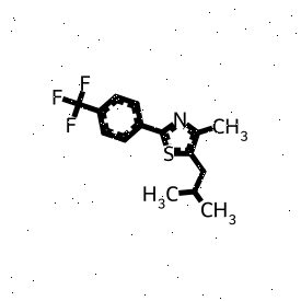 Cc1nc(-c2ccc(C(F)(F)F)cc2)sc1CC(C)C